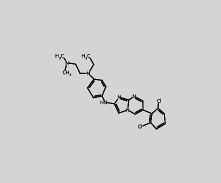 CCN(CCN(C)C)c1ccc(Nc2cn3cc(-c4c(Cl)cccc4Cl)cnc3n2)cc1